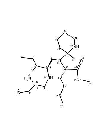 CCC(C)[C@@H](CN([C@@H](CCSC)C(=O)OC)C1(C)CCCCN1)NC[C@@H](N)CS